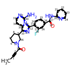 CC#CC(=O)N1CCCC(c2nc(-c3ccc(C(=O)Nc4ccccn4)cc3F)n3c(N)nccc23)C1